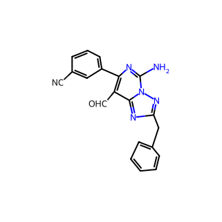 N#Cc1cccc(-c2nc(N)n3nc(Cc4ccccc4)nc3c2C=O)c1